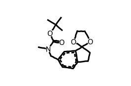 CN(Cc1ccc2c(c1)C1(CC2)OCCO1)C(=O)OC(C)(C)C